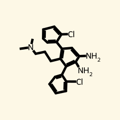 CN(C)CCCc1c(-c2ccccc2Cl)cc(N)c(N)c1-c1ccccc1Cl